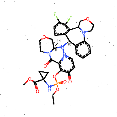 CCOP(=O)(NC1(C(=O)OC)CC1)Oc1c2n(ccc1=O)N([C@@H]1c3ccccc3N3CCOCC3c3c1ccc(F)c3F)[C@@H]1COCCN1C2=O